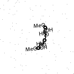 COc1ccc(O)c(/C=N/NC(=O)/C=C/c2ccc(C(=O)N/N=C/c3cc(OC)ccc3O)cc2)c1